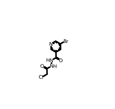 O=C(CCl)NNC(=O)c1cncc(Br)c1